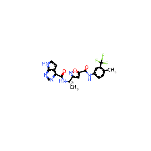 Cc1ccc(NC(=O)c2cc([C@H](C)NC(=O)c3ncnc4[nH]ccc34)no2)cc1C(F)(F)F